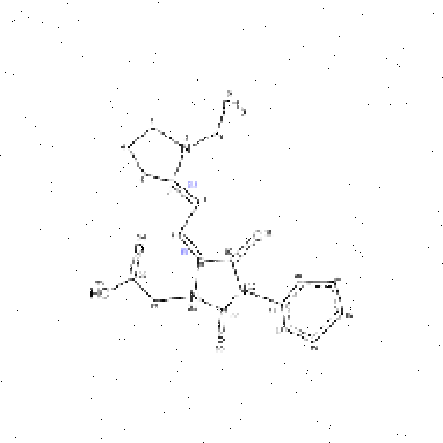 CCN1CCC/C1=C\C=C1/C(=O)N(c2ccccc2)C(=S)N1CC(=O)O